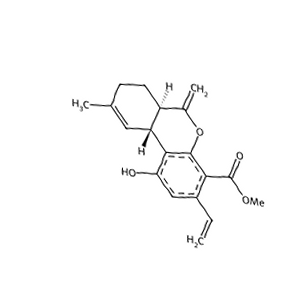 C=Cc1cc(O)c2c(c1C(=O)OC)OC(=C)[C@@H]1CCC(C)=C[C@@H]21